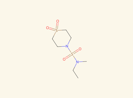 CCN(C)S(=O)(=O)N1CCS(=O)(=O)CC1